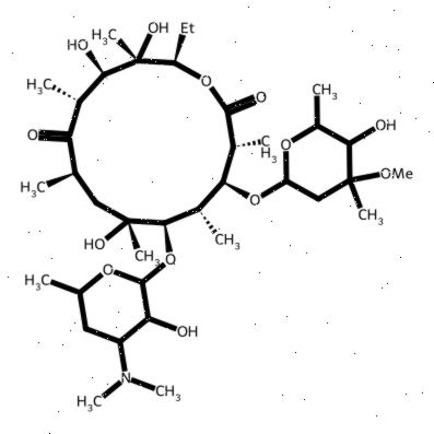 CC[C@H]1OC(=O)[C@H](C)[C@@H](OC2CC(C)(OC)C(O)C(C)O2)[C@H](C)[C@@H](OC2OC(C)CC(N(C)C)C2O)[C@](C)(O)C[C@@H](C)C(=O)[C@H](C)[C@@H](O)[C@]1(C)O